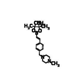 CN1CCN(Cc2ccc(/C=C/B3OC(C)(C)C(C)(C)O3)cc2)CC1